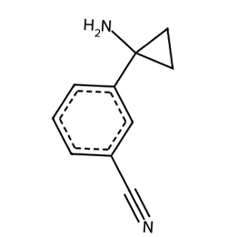 N#Cc1cccc(C2(N)CC2)c1